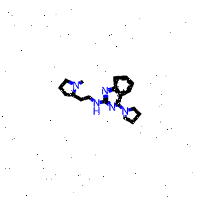 CN1CCCC1CCNc1nc(N2CCCC2)c2ccccc2n1